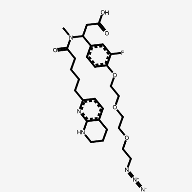 CN(C(=O)CCCCc1ccc2c(n1)NCCC2)C(CC(=O)O)c1ccc(OCCOCCOCCN=[N+]=[N-])c(F)c1